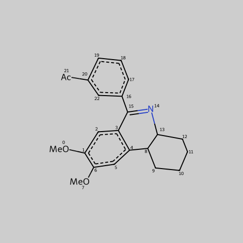 COc1cc2c(cc1OC)C1CCCCC1N=C2c1cccc(C(C)=O)c1